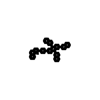 c1ccc2cc(-c3ccc4c(-c5ccc6ccccc6c5)c5cc(-c6ccc(-c7ccc8ccc9ccccc9c8n7)cc6)ccc5c(-c5ccc6ccccc6c5)c4c3)ccc2c1